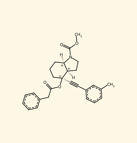 COC(=O)N1CC[C@@H]2[C@H]1CCC[C@]2(C#Cc1cccc(C)c1)OC(=O)Cc1ccccc1